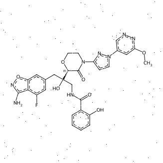 COc1cc(-n2ccc(N3CCO[C@H](C(O)(CNC(=O)c4ccccc4O)Cc4cc(F)c5c(N)noc5c4)C3=O)n2)cnn1